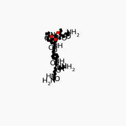 CC[C@H](C)[C@@H]([C@@H](CC(N)=O)OC)N(C)C(=O)[C@H](C)NC(=O)[C@H](C(C)C)N(C)Cc1cccc(NC(=O)OCc2ccc(NC(=O)[C@H](CCCCNC(N)=O)NC(=O)[C@H](C)N)cc2)c1